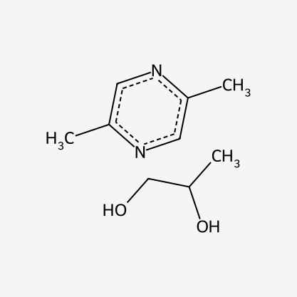 CC(O)CO.Cc1cnc(C)cn1